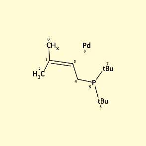 CC(C)=CCP(C(C)(C)C)C(C)(C)C.[Pd]